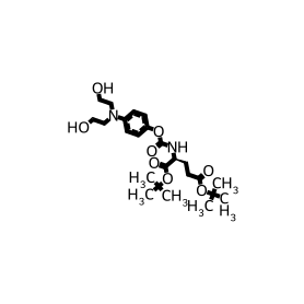 CC(C)(C)OC(=O)CC[C@H](NC(=O)Oc1ccc(N(CCO)CCO)cc1)C(=O)OC(C)(C)C